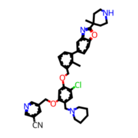 Cc1c(COc2cc(OCc3cncc(C#N)c3)c(CN3CCCCC3)cc2Cl)cccc1-c1ccc2oc(C3(C)CCNCC3)nc2c1